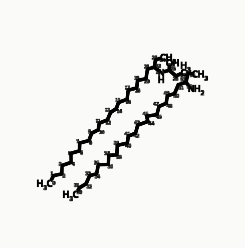 CCCCCCCCCCCCCCCCCCCCCCC(CC)NC(O)CC.CCCCCCCCCCCCCCCCCCCCCCC(N)CC